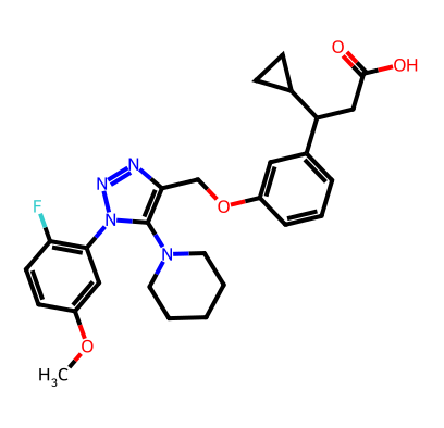 COc1ccc(F)c(-n2nnc(COc3cccc(C(CC(=O)O)C4CC4)c3)c2N2CCCCC2)c1